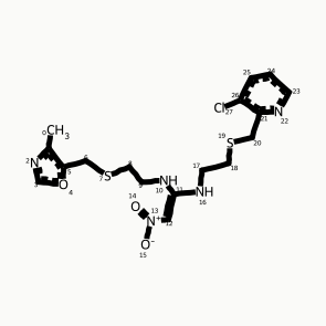 Cc1ncoc1CSCCNC(=C[N+](=O)[O-])NCCSCc1ncccc1Cl